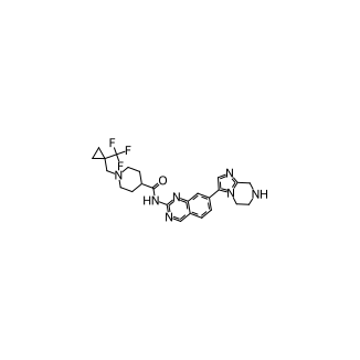 O=C(Nc1ncc2ccc(-c3cnc4n3CCNC4)cc2n1)C1CCN(CC2(C(F)(F)F)CC2)CC1